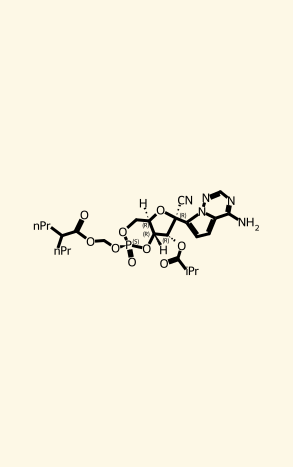 CCCC(CCC)C(=O)OCO[P@@]1(=O)OC[C@H]2O[C@@](C#N)(c3ccc4c(N)ncnn34)[C@H](OC(=O)C(C)C)[C@@H]2O1